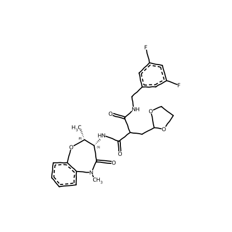 C[C@H]1Oc2ccccc2N(C)C(=O)[C@H]1NC(=O)C(CC1OCCO1)C(=O)NCc1cc(F)cc(F)c1